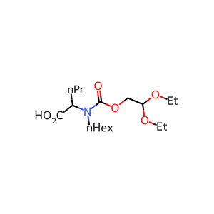 CCCCCCN(C(=O)OCC(OCC)OCC)C(CCC)C(=O)O